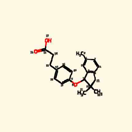 Cc1ccc2c(c1)C(Oc1ccc(CCC(=O)O)cc1)C(C)(C)C2